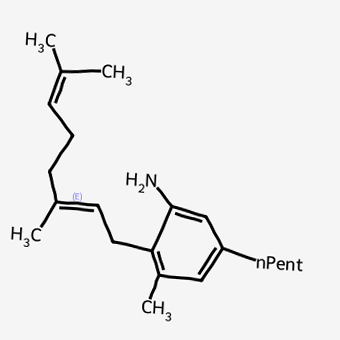 CCCCCc1cc(C)c(C/C=C(\C)CCC=C(C)C)c(N)c1